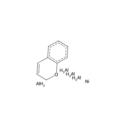 C1=Cc2ccccc2OC1.[AlH3].[AlH3].[AlH3].[AlH3].[Ni]